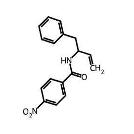 C=CC(Cc1ccccc1)NC(=O)c1ccc([N+](=O)[O-])cc1